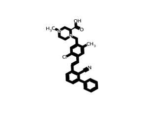 Cc1cc(/C=C/c2cccc(-c3ccccc3)c2C#N)c(Cl)cc1CN1CCN(C)C[C@H]1C(=O)O